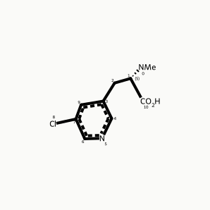 CN[C@@H](Cc1cncc(Cl)c1)C(=O)O